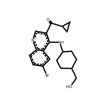 O=C(c1cnc2ccc(Br)cc2c1NC1CCC(CO)CC1)C1CC1